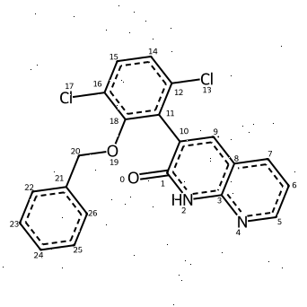 O=c1[nH]c2ncccc2[c]c1-c1c(Cl)ccc(Cl)c1OCc1ccccc1